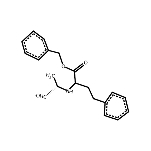 C[C@@H]([C]=O)NC(CCc1ccccc1)C(=O)OCc1ccccc1